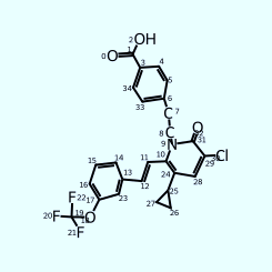 O=C(O)c1ccc(CCn2c(/C=C/c3cccc(OC(F)(F)F)c3)c(C3CC3)cc(Cl)c2=O)cc1